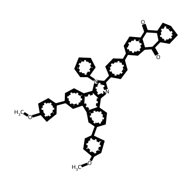 COc1ccc(-c2ccc3c(c2)c2cc(-c4ccc(OC)cc4)ccc2c2c3nc(-c3ccc(-c4ccc5c(c4)C(=O)c4ccccc4C5=O)cc3)n2-c2ccccc2)cc1